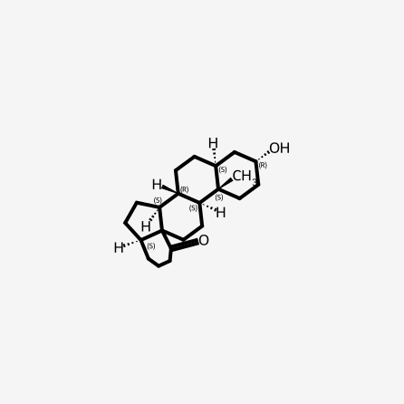 C[C@]12CC[C@@H](O)C[C@@H]1CC[C@H]1[C@@H]3CC[C@@H]4CCCC(=O)C43CC[C@@H]12